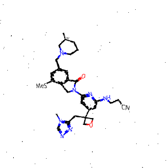 CSc1cc(CN2CCC[C@H](C)C2)cc2c1CN(c1cc(C3(Cc4nncn4C)COC3)cc(NCCC#N)n1)C2=O